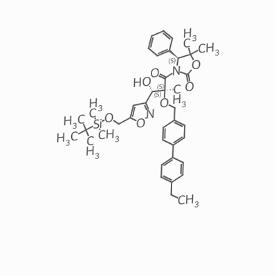 CCc1ccc(-c2ccc(CO[C@](C)(C(=O)N3C(=O)OC(C)(C)[C@@H]3c3ccccc3)[C@@H](O)c3cc(CO[Si](C)(C)C(C)(C)C)on3)cc2)cc1